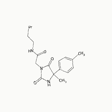 Cc1ccc(C2(C)NC(=O)N(CC(=O)NCCC(C)C)C2=O)cc1